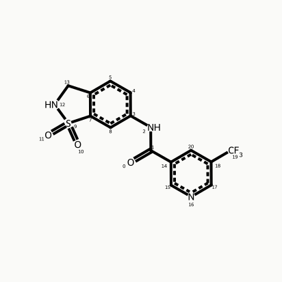 O=C(Nc1ccc2c(c1)S(=O)(=O)NC2)c1cncc(C(F)(F)F)c1